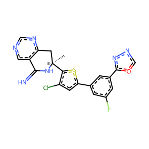 C[C@@]1(c2sc(-c3cc(F)cc(-c4nnco4)c3)cc2Cl)Cc2ncncc2C(=N)N1